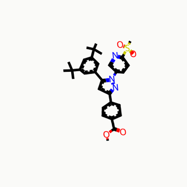 COC(=O)c1ccc(-c2cc(-c3cc(C(C)(C)C)cc(C(C)(C)C)c3)n(-c3ccc(S(C)(=O)=O)nc3)n2)cc1